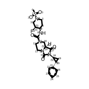 CS(=O)(=O)N1CC[C@@H](NC(=O)N2CCN3C(=O)N([C@H]4C[C@@H]4c4ccccc4)C(=O)[C@@H]3C2)[C@@H](F)C1